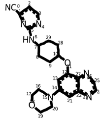 N#Cc1ccnc(NC2CCC(Oc3cc(N4CCOCC4)cc4nccnc34)CC2)n1